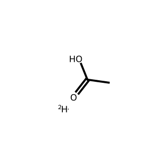 CC(=O)O.[2H]